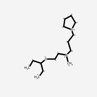 CCC(CC)OCCN(C)CCCN1CCCC1